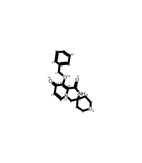 O=C1NC2(CCOCC2)Cn2ccc(=O)c(OCc3ccccc3)c21